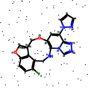 Fc1ccc2c3c1CNc1c(cc(-n4cccn4)c4nncn14)OC[C@H]3CO2